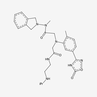 Cc1ccc(-c2noc(=O)[nH]2)cc1N(CC(=O)NCCNC(C)C)CC(=O)N(C)N1Cc2ccccc2C1